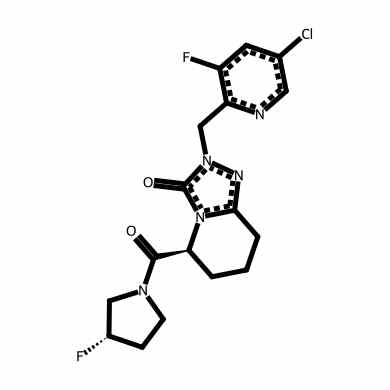 O=C([C@@H]1CCCc2nn(Cc3ncc(Cl)cc3F)c(=O)n21)N1CC[C@H](F)C1